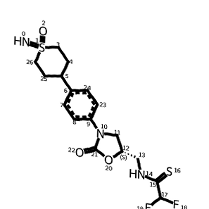 N=S1(=O)CCC(c2ccc(N3C[C@H](CNC(=S)C(F)F)OC3=O)cc2)CC1